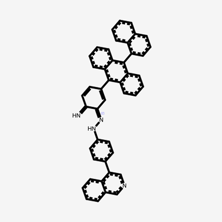 N=C1C=CC(c2c3ccccc3c(-c3cccc4ccccc34)c3ccccc23)=C/C1=N/Nc1ccc(-c2cncc3ccccc23)cc1